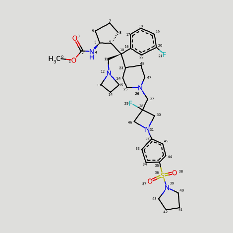 COC(=O)N[C@H]1CCC[C@@H]1[C@](CN1CCC1)(c1cccc(F)c1)C1CCN(CC2(F)CN(c3ccc(S(=O)(=O)N4CCCC4)cc3)C2)CC1